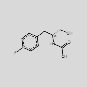 O=C(O)N[C@@H](CO)Cc1ccc(F)cc1